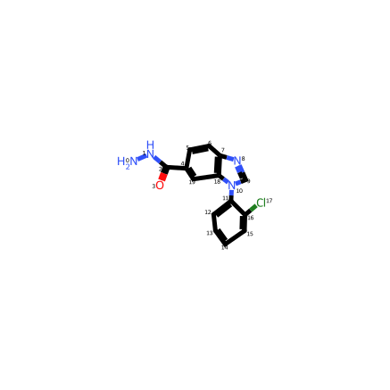 NNC(=O)c1ccc2ncn(-c3ccccc3Cl)c2c1